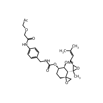 CO[C@H]1[C@H](C2(C)O[C@@H]2CC=C(C)C)[C@]2(CC[C@H]1OC(=O)NCc1ccc(NC(=O)COCC(C)=O)cc1)CO2